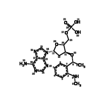 CNc1ccccc1C(C)O[C@H]1C[C@H](n2cnc3c(N)ncnc32)OC1COP(=O)(O)O